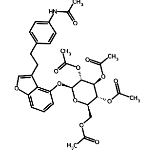 CC(=O)Nc1ccc(CCc2coc3cccc(O[C@@H]4O[C@H](COC(C)=O)[C@@H](OC(C)=O)[C@H](OC(C)=O)[C@H]4OC(C)=O)c23)cc1